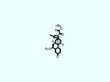 CCCCOC(=O)C(=O)[C@@]12CC[C@@]3(OC(C)O1)[C@@H]1C=C(OC(C)=O)C4=CC(=O)C=C[C@]4(C)[C@@]1(Cl)[C@@H](F)C[C@]23C